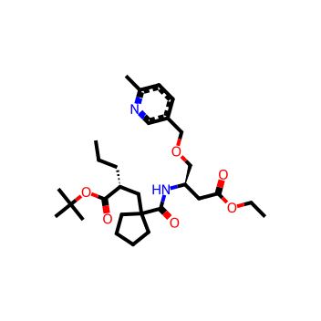 CCC[C@H](CC1(C(=O)N[C@@H](COCc2ccc(C)nc2)CC(=O)OCC)CCCC1)C(=O)OC(C)(C)C